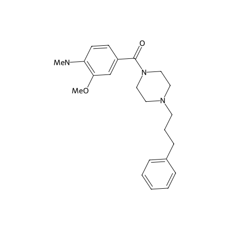 CNc1ccc(C(=O)N2CCN(CCCc3ccccc3)CC2)cc1OC